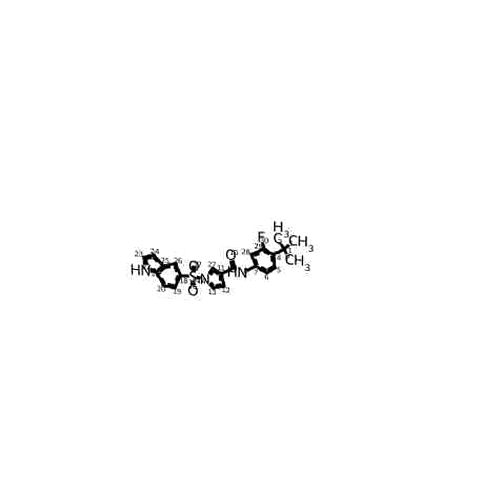 CC(C)(C)c1ccc(NC(=O)c2ccn(S(=O)(=O)c3ccc4[nH]ccc4c3)c2)cc1F